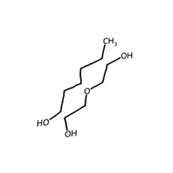 CCCCCCO.OCCOCCO